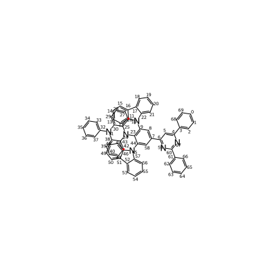 c1ccc(-c2cc(-c3cc(-n4c5ccccc5c5ccccc54)c(N4c5ccccc5N(c5ccccc5)c5ccccc54)c(-n4c5ccccc5c5ccccc54)c3)nc(-c3ccccc3)n2)cc1